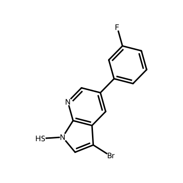 Fc1cccc(-c2cnc3c(c2)c(Br)cn3S)c1